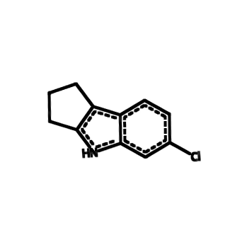 Clc1ccc2c3c([nH]c2c1)CCC3